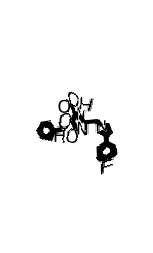 O=C(O)c1nc(Cn2ccc(-c3ccc(F)cc3)c2)nc(O)c1OCc1ccccc1